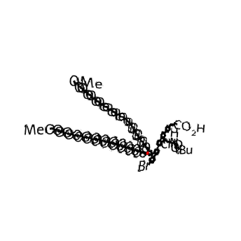 COCCOOCCOOCCOOCCOOCCOOCCOOCCOOCCOOCCOOCCOOCCOCCCC1(CCCOCCOOCCOOCCOOCCOOCCOOCCOOCCOOCCOOCCOOCCOOCCOC)c2cc(Br)ccc2-c2ccc(-c3ccc4c(c3)C(C)(CCCCNC(=O)OC(C)(C)C)c3cc(-c5ccc(CCCC(=O)O)cc5)ccc3-4)cc21